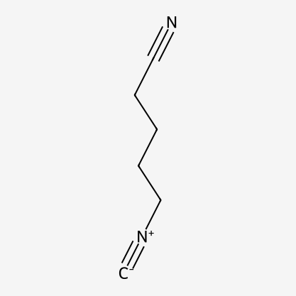 [C-]#[N+]CCCCC#N